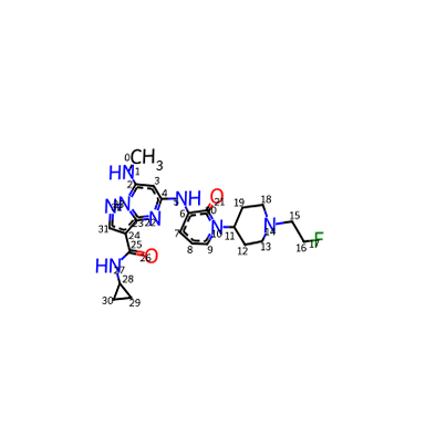 CNc1cc(Nc2cccn(C3CCN(CCF)CC3)c2=O)nc2c(C(=O)NC3CC3)cnn12